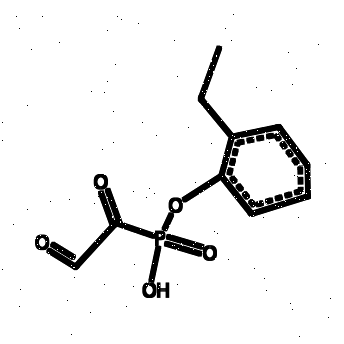 CCc1ccccc1OP(=O)(O)C(=O)C=O